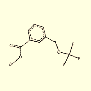 O=C(OBr)c1cccc(COC(F)(F)F)c1